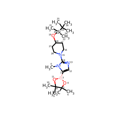 Cn1c(B2OC(C)(C)C(C)(C)O2)cnc1N1CCC(O[Si](C)(C)C(C)(C)C)CC1